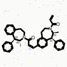 C=CC(=O)N1CCc2cc(/C=C\C(=O)N3CCc4ccccc4[C@H](c4ccccc4)[C@H]3C)ccc2[C@H](c2ccccc2)[C@@H]1C